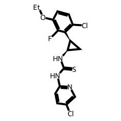 CCOc1ccc(Cl)c([C@H]2C[C@H]2NC(=S)Nc2ccc(Cl)cn2)c1F